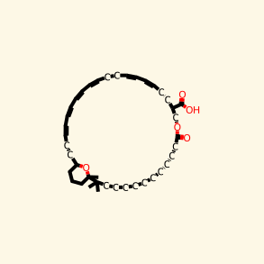 CC1(C)CCCCCCCCCCC(=O)OCC(C(=O)O)CCC=CC=CCCC=CC=CC=CC=CCCC2CCCC1(C)O2